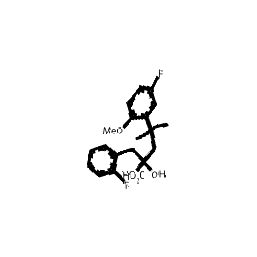 COc1ccc(F)cc1C(C)(C)CC(O)(Cc1ccccc1F)C(=O)O